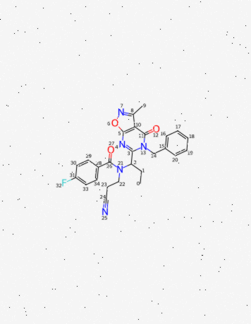 CCC(c1nc2onc(C)c2c(=O)n1Cc1ccccc1)N(CCC#N)C(=O)c1ccc(F)cc1